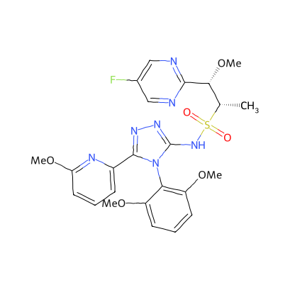 COc1cccc(-c2nnc(NS(=O)(=O)[C@@H](C)[C@@H](OC)c3ncc(F)cn3)n2-c2c(OC)cccc2OC)n1